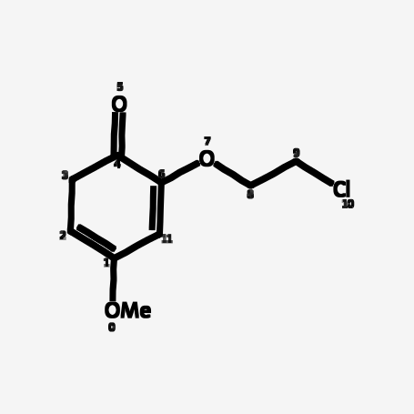 COC1=CCC(=O)C(OCCCl)=C1